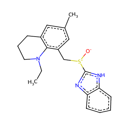 CCN1CCCc2cc(C)cc(C[S+]([O-])c3nc4ccccc4[nH]3)c21